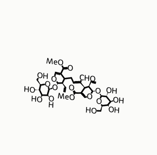 C=C[C@H]1[C@H](O[C@@H]2O[C@H](CO)[C@@H](O)[C@H](O)[C@H]2O)OC=C(C(=O)OC)[C@H]1/C(C=O)=C/CC1C(C(=O)OC)=CO[C@@H](O[C@@H]2O[C@H](CO)[C@@H](O)[C@H](O)[C@H]2O)[C@@H]1C=C